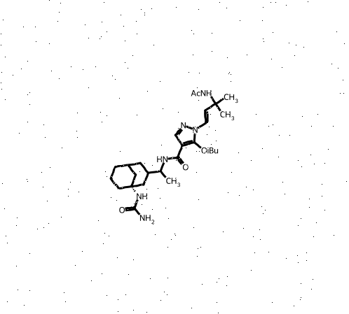 CC(=O)NC(C)(C)/C=C/n1ncc(C(=O)NC(C)C2CC3CCC[C@@](NC(N)=O)(C3)C2)c1OCC(C)C